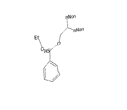 CCCCCCCCCC(CCCCCCCCC)CO[SiH](OCC)c1ccccc1